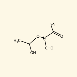 CCCC(=O)N(C=O)OC(C)O